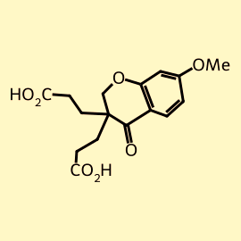 COc1ccc2c(c1)OCC(CCC(=O)O)(CCC(=O)O)C2=O